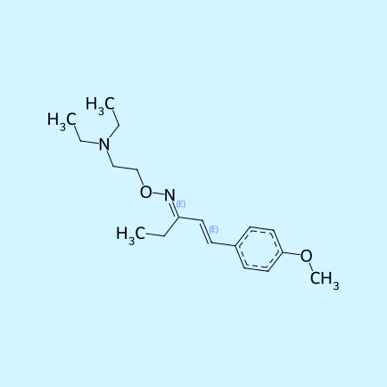 CCC(/C=C/c1ccc(OC)cc1)=N\OCCN(CC)CC